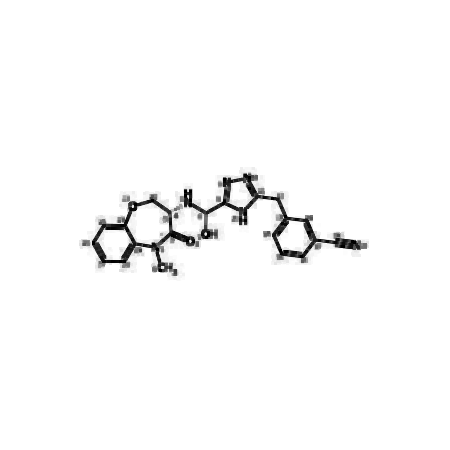 CN1C(=O)[C@@H](NC(O)c2nnc(Cc3cccc(C#N)c3)[nH]2)COc2ccccc21